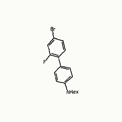 CCCCCCc1ccc(-c2ccc(Br)cc2F)cc1